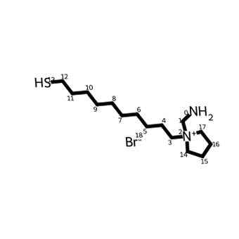 NC[N+]1(CCCCCCCCCCS)CCCC1.[Br-]